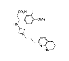 COc1ccc(C(CC(=O)O)NC2CN(CCCc3ccc4c(n3)NCCC4)C2)cc1F